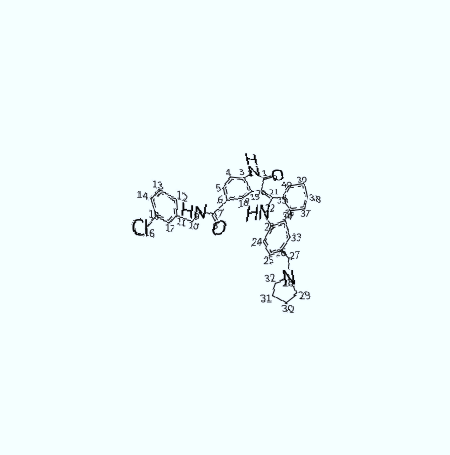 O=C1Nc2ccc(C(=O)NCc3cccc(Cl)c3)cc2/C1=C(\Nc1ccc(CN2CCCC2)cc1)c1ccccc1